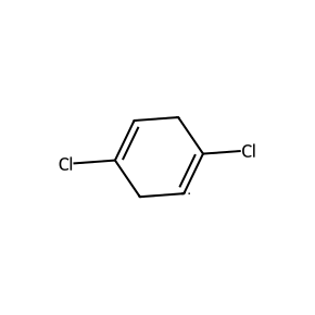 ClC1=[C]CC(Cl)=CC1